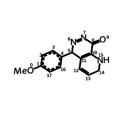 COc1ccc(C2N=NC(=O)C3=C2C=CCN3)cc1